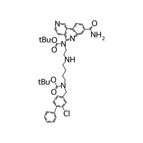 CC(C)(C)OC(=O)N(CCCCNCCN(C(=O)OC(C)(C)C)c1nc2cc(C(N)=O)ccc2c2cnccc12)Cc1ccc(-c2ccccc2)c(Cl)c1